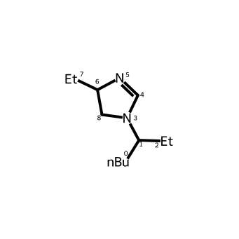 CCCCC(CC)N1C=NC(CC)C1